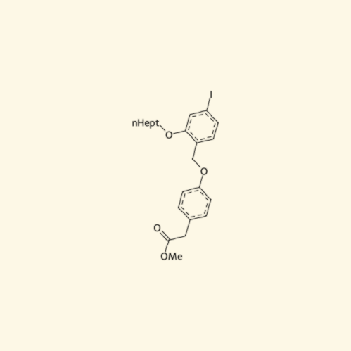 CCCCCCCOc1cc(I)ccc1COc1ccc(CC(=O)OC)cc1